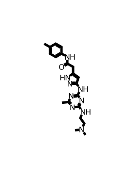 Cc1ccc(NC(=O)Cc2cc(Nc3nc(C)nc(NCCN(C)C)n3)n[nH]2)cc1